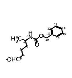 CC(CCC[C]=O)NC(=O)OCc1ccccc1